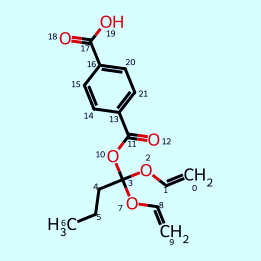 C=COC(CCC)(OC=C)OC(=O)c1ccc(C(=O)O)cc1